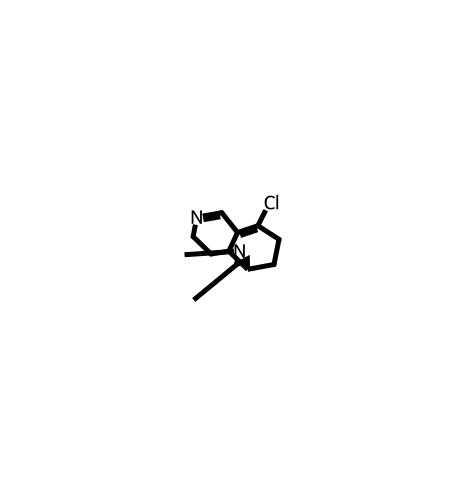 CC1CC2CCC(Cl)=C3C=NCCC32N1C